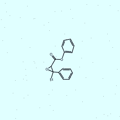 CCC1(c2ccccc2)OC1C(=O)Oc1ccccc1